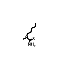 CCCCCN(C)C(N)=S